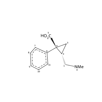 CNC[C@H]1C[C@@]1(C(=O)O)c1ccccc1